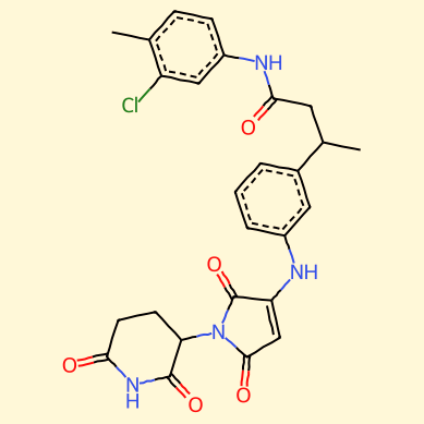 Cc1ccc(NC(=O)CC(C)c2cccc(NC3=CC(=O)N(C4CCC(=O)NC4=O)C3=O)c2)cc1Cl